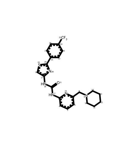 O=C(Nc1cccc(CN2CCCCC2)n1)Nc1csc(-c2ccc(C(F)(F)F)cc2)n1